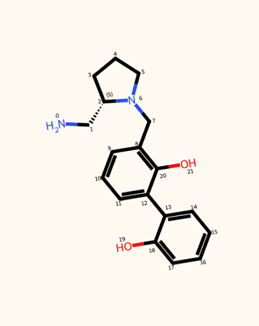 NC[C@@H]1CCCN1Cc1cccc(-c2ccccc2O)c1O